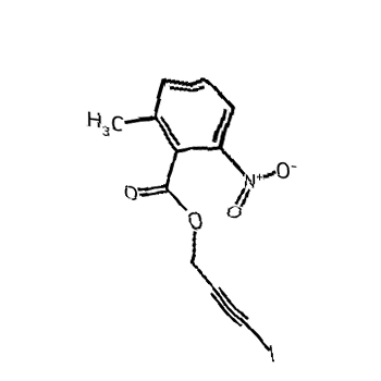 Cc1cccc([N+](=O)[O-])c1C(=O)OCC#CI